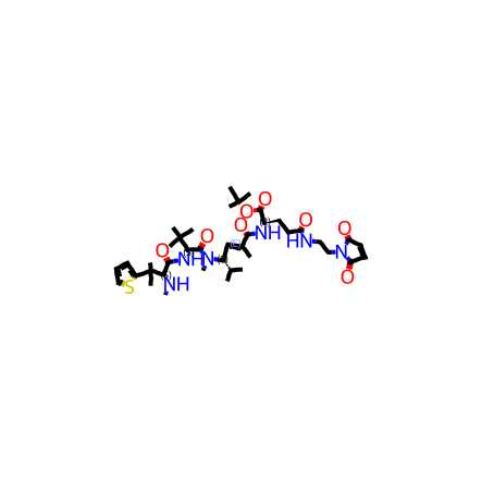 CN[C@H](C(=O)N[C@H](C(=O)N(C)[C@H](/C=C(\C)C(=O)N[C@H](CCC(=O)NCCN1C(=O)C=CC1=O)C(=O)OC(C)(C)C)C(C)C)C(C)(C)C)C(C)(C)c1cccs1